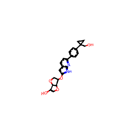 OCC1(c2ccc(-c3ccc4cc(OC5COC6C(O)COC56)[nH]c4n3)cc2)CC1